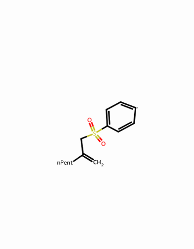 C=C(CCCCC)CS(=O)(=O)c1cc[c]cc1